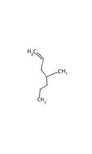 [CH2]CCC(C)CC=C